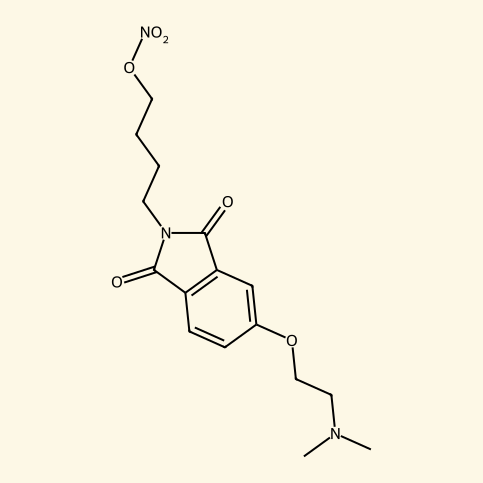 CN(C)CCOc1ccc2c(c1)C(=O)N(CCCCO[N+](=O)[O-])C2=O